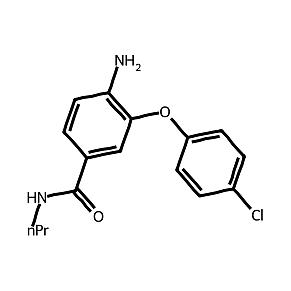 CCCNC(=O)c1ccc(N)c(Oc2ccc(Cl)cc2)c1